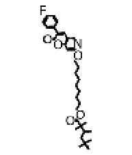 CC(CC(C)(C)C)C(C)(C)C(=O)OCCCCCCCCCOc1cc2oc(=O)c(-c3ccc(F)cc3)cc2cn1